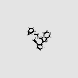 C#Cc1ccsc1-c1nc2cnccn2c1NCC.c1cc2cc-2c1